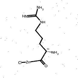 N=C(N)NCCC[C@H](N)[C](=O)[Zn][Cl]